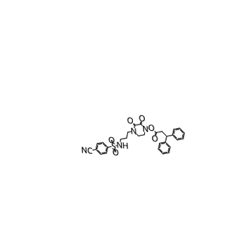 N#Cc1ccc(S(=O)(=O)NCCCN2CCN(OC(=O)CC(c3ccccc3)c3ccccc3)C(=O)C2=O)cc1